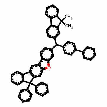 CC1(C)c2ccccc2-c2ccc(C(c3ccc(-c4ccccc4)cc3)c3ccc4c(c3)oc3cc5c(cc34)-c3ccccc3C5(c3ccccc3)c3ccccc3)cc21